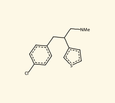 CNCC(Cc1ccc(Cl)cc1)c1ccsc1